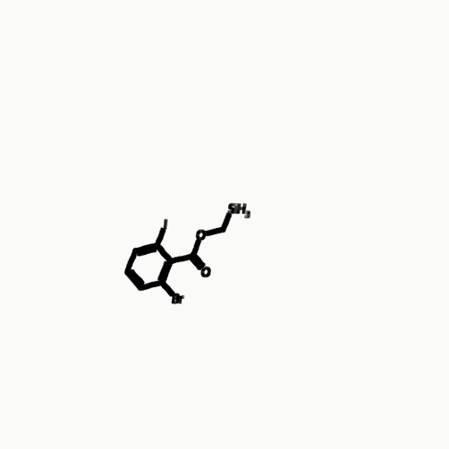 O=C(OC[SiH3])c1c(Br)cccc1I